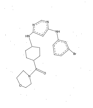 O=C(C1CCC(Nc2cc(Nc3cccc(Br)c3)ncn2)CC1)N1CCOCC1